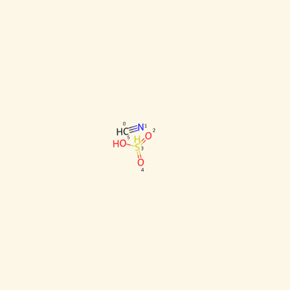 C#N.O=[SH](=O)O